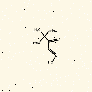 CCCCCCC(C)(CCCCCC)C(=O)C=NO